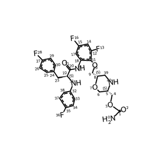 NC(=O)OC[C@@H]1CO[C@H](COc2c(F)cc(F)cc2NC(=O)[C@H](Cc2ccc(F)cc2)Nc2ccc(F)cc2)CN1